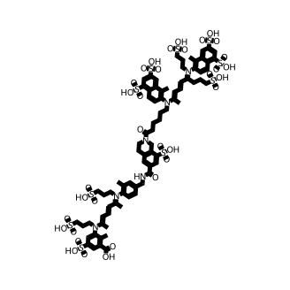 C\C(=C/C=C/C(C)=[N+](\CCCS(=O)(=O)O)c1ccc(CNC(=O)c2cc3c(c(S(=O)(=O)O)c2)CN(C(=O)CCCCCN(/C(C)=C/C=C/C(CCCS(=O)(=O)O)=[N+](\CCCS(=O)(=O)O)c2ccc4c(S(=O)(=O)O)cc(S(=O)(=O)O)cc4c2C)c2ccc4c(S(=O)(=O)O)cc(S(=O)(=O)O)cc4c2C)CC3)cc1C)N(CCCS(=O)(=O)O)c1cc(S(=O)(=O)O)cc(C(=O)O)c1C